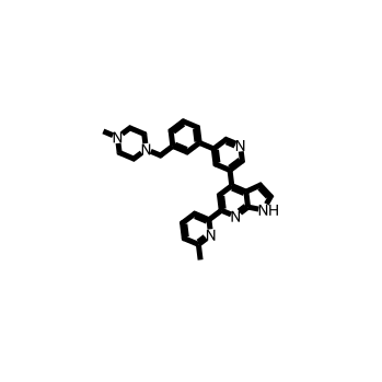 Cc1cccc(-c2cc(-c3cncc(-c4cccc(CN5CCN(C)CC5)c4)c3)c3cc[nH]c3n2)n1